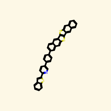 c1ccc2cc3c(cc2c1)sc1c2cc4ccc(-c5ccc(-c6ccc(-c7cc8ccccc8s7)nc6)cc5)cc4cc2sc31